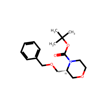 CC(C)(C)OC(=O)N1CCOC[C@@H]1COCc1ccccc1